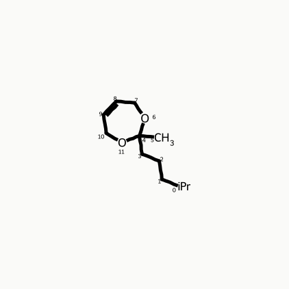 CC(C)CCCC1(C)OCC=CCO1